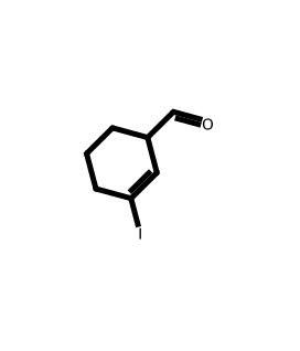 O=CC1C=C(I)CCC1